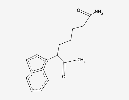 CC(=O)C(CCCCC(N)=O)n1ccc2ccccc21